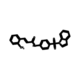 Cc1ccccc1C=CC(=O)Nc1ccc(S(=O)(=O)n2ccc3ccccc32)cc1